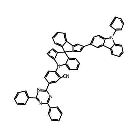 N#Cc1cc(-c2nc(-c3ccccc3)nc(-c3ccccc3)n2)ccc1N1c2ccccc2C2(c3ccccc3-c3cc(-c4ccc5c(c4)c4ccccc4n5-c4ccccc4)ccc32)c2ccccc21